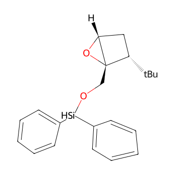 CC(C)(C)[C@H]1C[C@H]2O[C@@]12CO[SiH](c1ccccc1)c1ccccc1